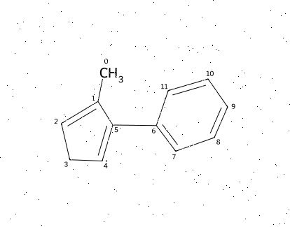 CC1=CC[C]=C1c1ccccc1